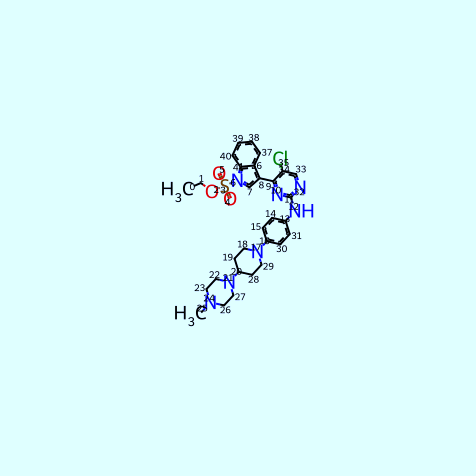 CCOS(=O)(=O)n1cc(-c2nc(Nc3ccc(N4CCC(N5CCN(C)CC5)CC4)cc3)ncc2Cl)c2ccccc21